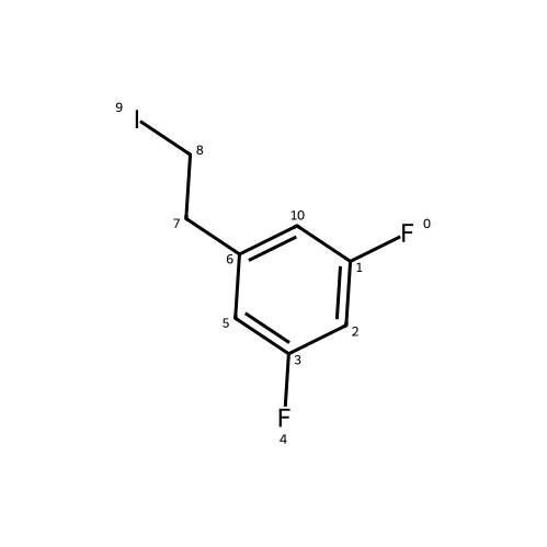 Fc1cc(F)cc(CCI)c1